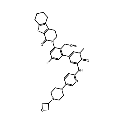 CC(=O)OCc1c(-c2cc(Nc3ccc(N4CCN(C5COC5)CC4)cn3)c(=O)n(C)c2)cc(F)cc1N1CCc2c(sc3c2CCCC3)C1=O